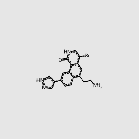 NCCc1cc2c(Br)c[nH]c(=O)c2c2cc(-c3cn[nH]c3)ccc12